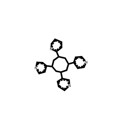 c1ccc(C2CC(c3ccncc3)CC(c3cccnc3)CC(c3ccncc3)C2)nc1